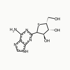 Nc1nc(C2S[C@H](CO)[C@H](O)[C@H]2O)nc2[nH]cnc12